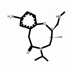 CNC[C@@H]1Oc2ccc(N)cc2CC(=O)N(C(C)C)C[C@H]1C